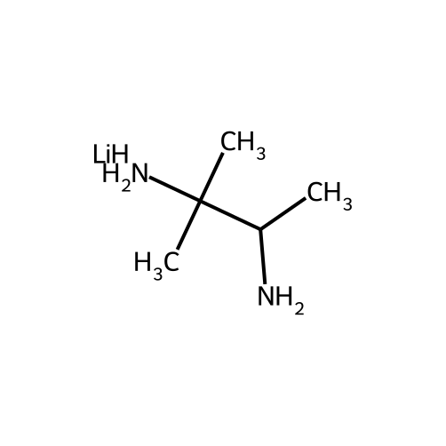 CC(N)C(C)(C)N.[LiH]